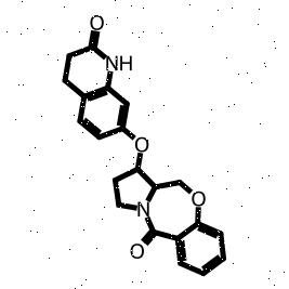 O=C1CCc2ccc(OC3CCN4C(=O)c5ccccc5OCC34)cc2N1